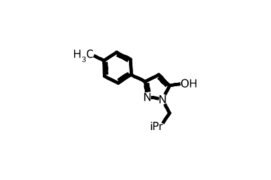 Cc1ccc(-c2cc(O)n(CC(C)C)n2)cc1